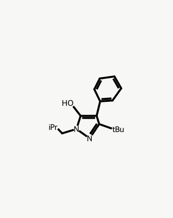 CC(C)Cn1nc(C(C)(C)C)c(-c2ccccc2)c1O